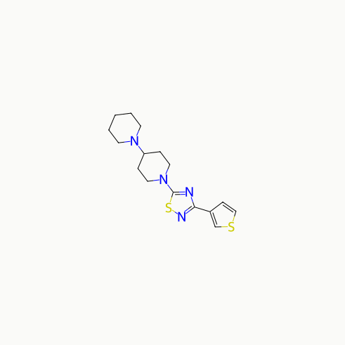 c1cc(-c2nsc(N3CCC(N4CCCCC4)CC3)n2)cs1